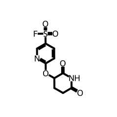 O=C1CCC(Oc2ccc(S(=O)(=O)F)cn2)C(=O)N1